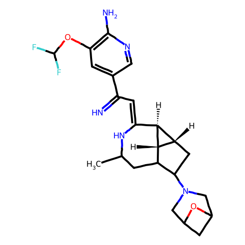 CC1CC2C(N3CC4CC(C3)O4)C[C@H]3[C@H](/C(=C/C(=N)c4cnc(N)c(OC(F)F)c4)N1)[C@@H]23